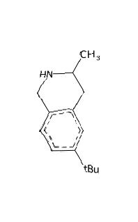 CC1Cc2cc(C(C)(C)C)ccc2CN1